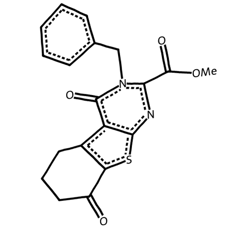 COC(=O)c1nc2sc3c(c2c(=O)n1Cc1ccccc1)CCCC3=O